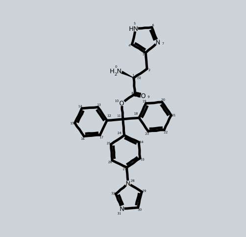 N[C@@H](Cc1c[nH]cn1)C(=O)OC(c1ccccc1)(c1ccccc1)c1ccc(-n2ccnc2)cc1